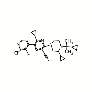 CC(C)(C1CC1)N1CCN(c2nc(C3CC3)c(-c3ccnc(Cl)c3F)cc2C#N)CC1C1CC1